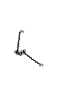 CC(C)CCCCCCCCCCCCCCCOC(=O)OC1CCCC(OC(=O)OCCCCCCCCCCCCCCCC(C)C)C1